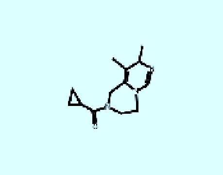 CC1=C2CN(C(=O)C3CC3)CCN2C=NC1C